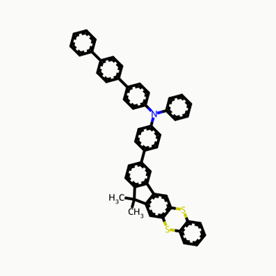 CC1(C)c2ccc(-c3ccc(N(c4ccccc4)c4ccc(-c5ccc(-c6ccccc6)cc5)cc4)cc3)cc2-c2cc3c(cc21)Sc1ccccc1S3